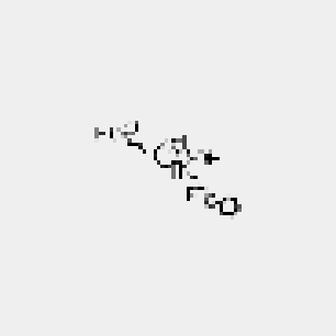 O=C(O)CCC[C@H]1CC[C@@H]2C(/C=C/C(F)COc3ccccc3)[C@H](O)C[C@@H]2OC1